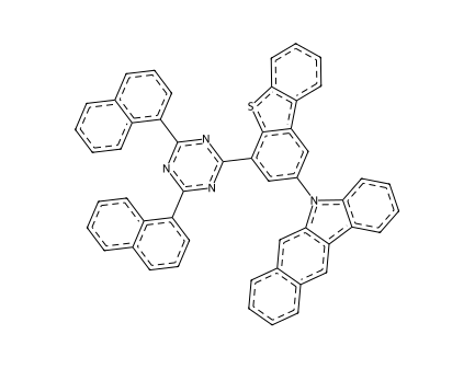 c1ccc2cc3c(cc2c1)c1ccccc1n3-c1cc(-c2nc(-c3cccc4ccccc34)nc(-c3cccc4ccccc34)n2)c2sc3ccccc3c2c1